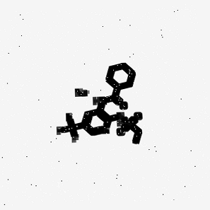 CCS(=O)(=O)Nc1ncc(C(F)(F)F)cc1NC(=O)C1CCCCC1.[Na]